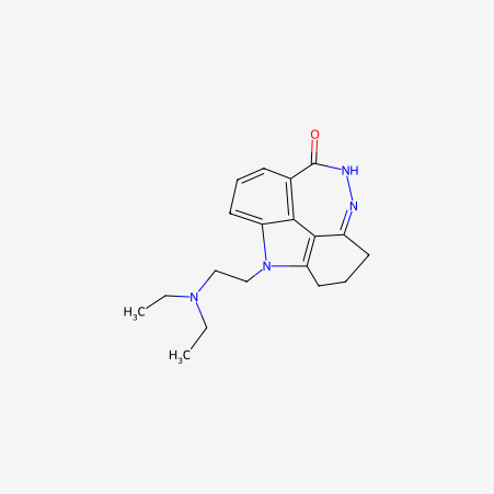 CCN(CC)CCn1c2c3c4c(cccc41)C(=O)NN=C3CCC2